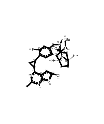 Cc1nc(C2CC2c2ccc(CN(C)C3C[C@H]4CC[C@@H](C3)N4C(=O)OC(C)(C)C)cc2F)c2cc(Cl)sc2n1